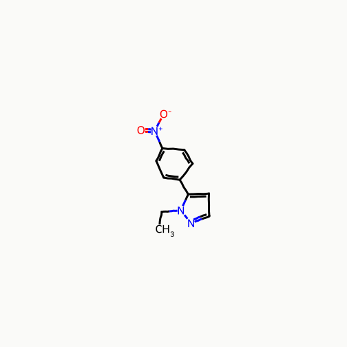 CCn1nccc1-c1ccc([N+](=O)[O-])cc1